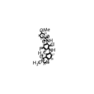 COC1CCN(S(=O)(=O)Nc2cc(F)cc(Nc3ccc4ncn(C)c(=O)c4c3C)c2Cl)C1